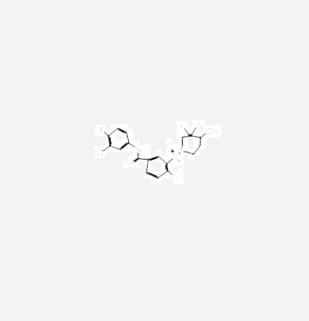 O=C(Nc1ccc(F)c(Cl)c1)c1ccc(O)c(S(=O)(=O)N2CCC(O)C(F)(F)C2)c1